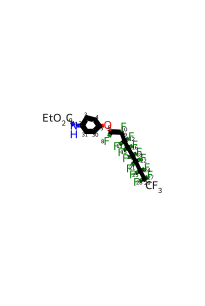 CCOC(=O)Nc1ccc(OC(F)=C(F)C(F)(F)C(F)(F)C(F)(F)C(F)(F)C(F)(F)C(F)(F)C(F)(F)F)cc1